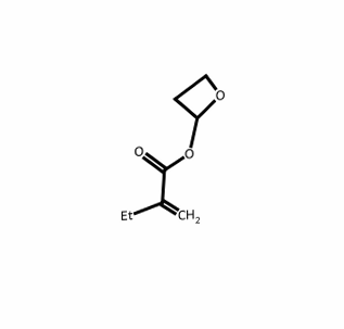 C=C(CC)C(=O)OC1CCO1